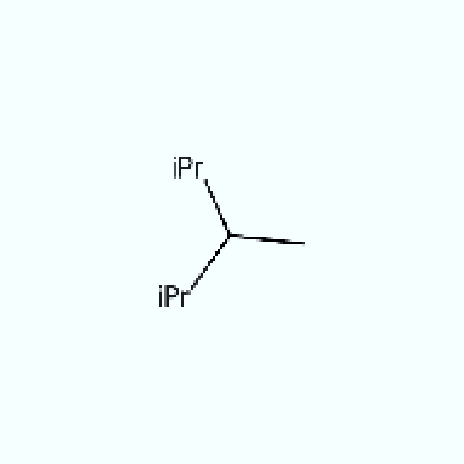 CC(C)C(C)C(C)C